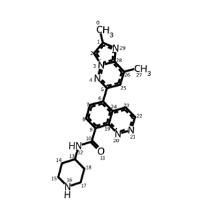 Cc1cn2nc(-c3ccc(C(=O)NC4CCNCC4)c4nnccc34)cc(C)c2n1